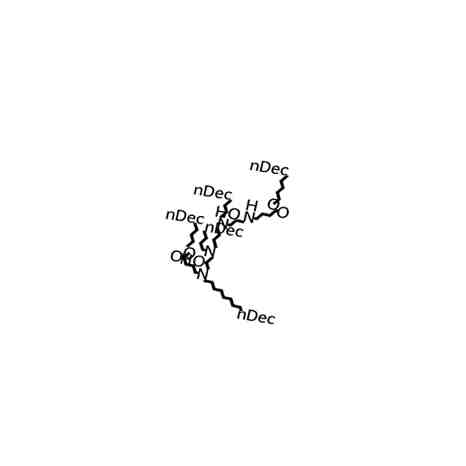 CCCCCCCCCCCCCCCCCCN(CCCC(=O)OCCCCCCCCCCCCCCC)CC(O)CN(CCCCCCCCCCCCCC)CCCCN(CCCCCCCCCCCCCC)CC(O)CNCCCC(=O)OCCCCCCCCCCCCCCC